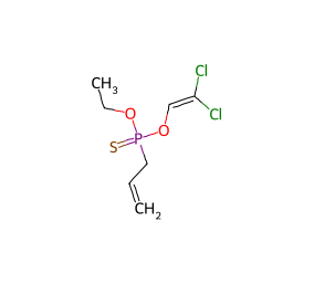 C=CCP(=S)(OC=C(Cl)Cl)OCC